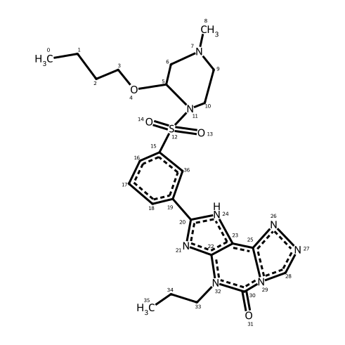 CCCCOC1CN(C)CCN1S(=O)(=O)c1cccc(-c2nc3c([nH]2)c2nncn2c(=O)n3CCC)c1